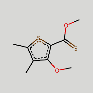 COC(=S)c1sc(C)c(C)c1OC